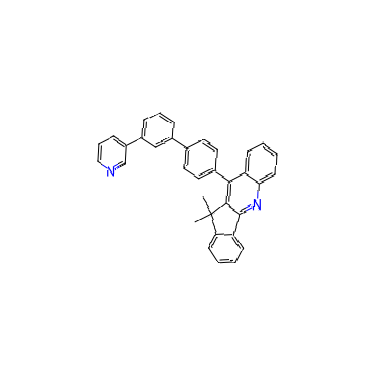 CC1(C)c2ccccc2-c2nc3ccccc3c(-c3ccc(-c4cccc(-c5cccnc5)c4)cc3)c21